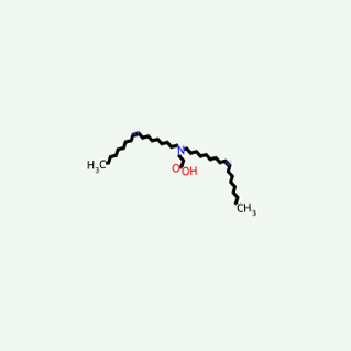 CCCCCCCC/C=C\CCCCCCCCN(CCCCCCCC/C=C\CCCCCCCC)CCC(=O)O